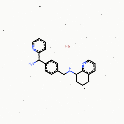 Br.NC(c1ccc(CNC2CCCc3cccnc32)cc1)c1ccccn1